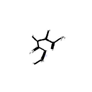 C=C(C(C)C)C(C)C(C)C(=S)/C=C\C